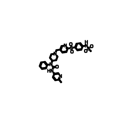 Cc1ccc(NC(=O)N(c2ccccc2)C2CCN(Cc3ccc(S(=O)(=O)c4ccc(NS(C)(=O)=O)cc4)nc3)CC2)cn1